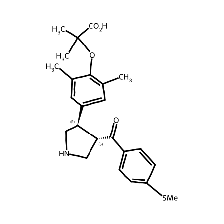 CSc1ccc(C(=O)[C@@H]2CNC[C@H]2c2cc(C)c(OC(C)(C)C(=O)O)c(C)c2)cc1